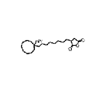 CCCC1(CCCCCCCCC2CC(=O)OC2=O)CCCCCCCC1